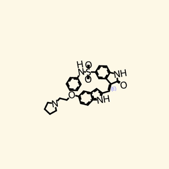 O=C1Nc2ccc(S(=O)(=O)Nc3ccccc3)cc2/C1=C\c1cc2cc(OCCN3CCCC3)ccc2[nH]1